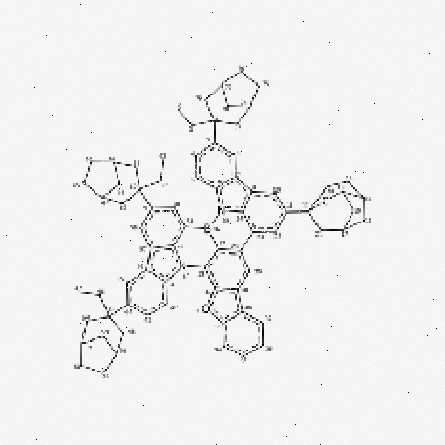 CCC1(c2ccc3c(c2)c2cc(C45CCC6CC(CC6C4)C5)cc4c2n3B2c3c-4cc4c(oc5ccccc54)c3-n3c4ccc(C5(CC)CC6CCC(C6)C5)cc4c4cc(C5(CC)CC6CCC(C6)C5)cc2c43)CC2CCC(C2)C1